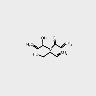 C=CC(=O)OC(O)C=C.C=CCCO